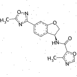 Cc1nc(-c2ccc3c(c2)OC[C@H]3NC(=O)c2ocnc2C)no1